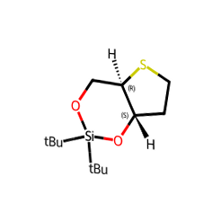 CC(C)(C)[Si]1(C(C)(C)C)OC[C@H]2SCC[C@@H]2O1